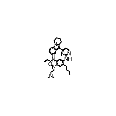 C=CC(=O)Nc1cc(Nc2nccc(-c3c4n(c5ccccc35)CCCC4)n2)c(CCCC)cc1N(C)CCN(C)C